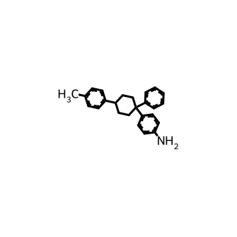 Cc1ccc(C2CCC(c3ccccc3)(c3ccc(N)cc3)CC2)cc1